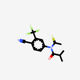 CC(=S)N(C(=O)C(C)C)c1ccc(C#N)c(C(F)(F)F)c1